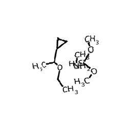 CCOC(C)C1CC1.CN.CO[SiH2]OC